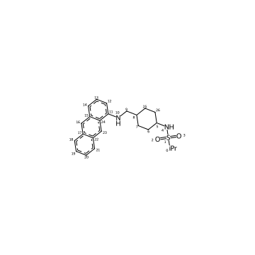 CC(C)S(=O)(=O)NC1CCC(CNc2cccc3cc4ccccc4cc23)CC1